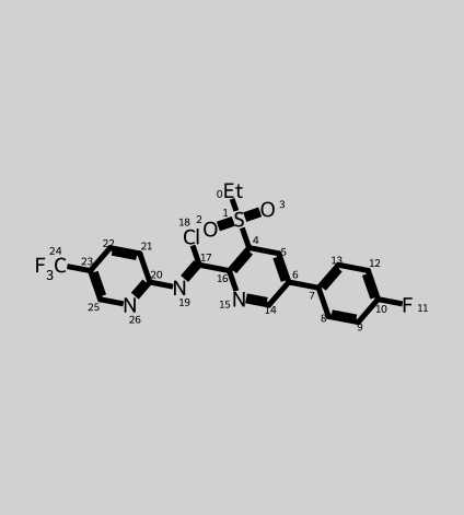 CCS(=O)(=O)c1cc(-c2ccc(F)cc2)cnc1C(Cl)=Nc1ccc(C(F)(F)F)cn1